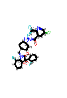 O=C(N[C@H]1CC[C@H](CN2C(=O)C(O)(c3ccccc3F)C3=C2C(F)CC=C3)CC1)c1cc(Cl)cnc1C(F)F